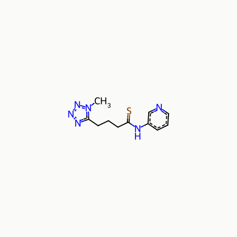 Cn1nnnc1CCCC(=S)Nc1cccnc1